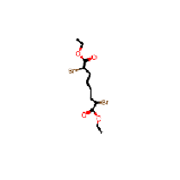 CCOC(=O)C(Br)CCCCC(Br)C(=O)OCC